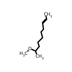 CC=CCCCCCC(C)OC